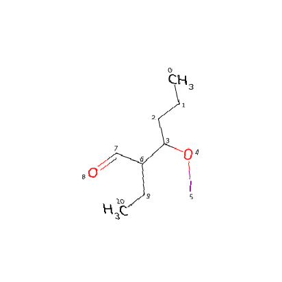 CCCC(OI)C(C=O)CC